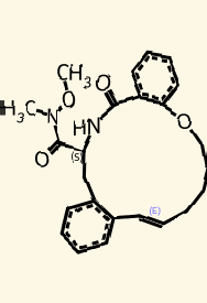 CON(C)C(=O)[C@@H]1Cc2ccccc2/C=C/CCCCOc2ccccc2C(=O)N1